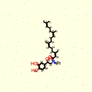 CC(C)=CCCC(C)=CCCC(C)=CCCC(C)=CC(=O)N(CC(O)c1ccc(O)c(O)c1)C(C)C